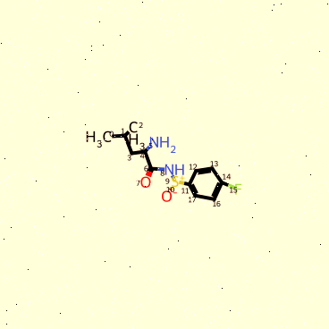 CC(C)CC(N)C(=O)N[S+]([O-])c1ccc(F)cc1